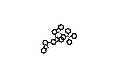 c1ccc([Si](c2ccccc2)(c2ccccc2)c2cccc(-n3c4ccccc4c4cccc(-n5c6ccccc6c6ccc(-c7cccc8c7sc7ccccc78)cc65)c43)c2)cc1